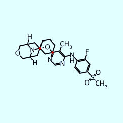 Cc1c(Nc2ccc(S(C)(=O)=O)cc2F)ncnc1O[C@H]1C[C@H]2COC[C@@H](C1)N2C1CCCCC1